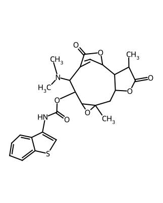 CC1C(=O)OC2CC3(C)OC3C(OC(=O)Nc3csc4ccccc34)C(N(C)C)C3=CC(OC3=O)C21